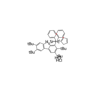 CC(C)(C)c1cc2c(cc1C(C)(C)C)-c1cc(C(C)(C)C)c(C(C)(C)C)[c]([Hf](=[SiH2])([C]3=CC=CC3)([c]3ccccc3)[c]3ccccc3)c1C2.Cl.Cl